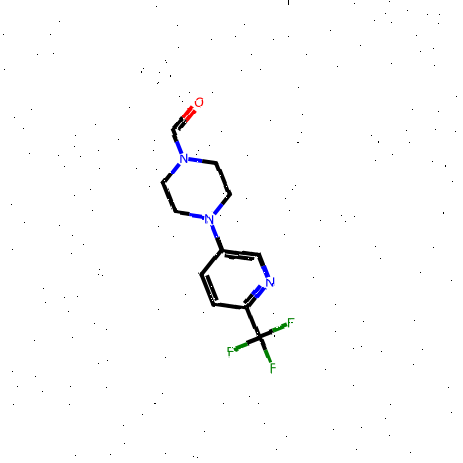 O=CN1CCN(c2ccc(C(F)(F)F)nc2)CC1